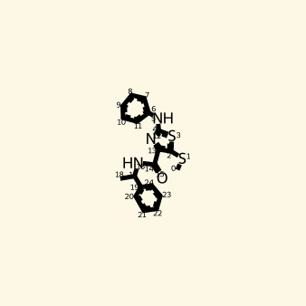 CSc1sc(Nc2ccccc2)nc1C(=O)NC(C)c1ccccc1